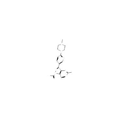 CN1CCN(c2ccc(-c3nn(C(=O)O)c4cnc(Cl)nc34)cn2)CC1